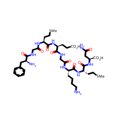 CSCC[C@H](NC(=O)CNC(=O)[C@@H](N)Cc1ccccc1)C(=O)N[C@@H](CCC(=O)O)C(=O)NCC(=O)N[C@@H](CCCCN)C(=O)N[C@@H](CCSC)C(=O)N[C@@H](CC(N)=O)C(=O)O